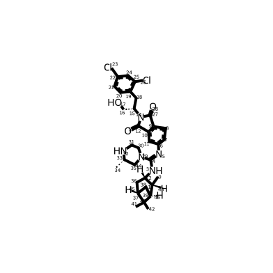 C[C@H]1[C@@H](NC(=Nc2ccc3c(c2)C(=O)N([C@H](CO)Cc2ccc(Cl)cc2Cl)C3=O)N2CCN[C@@H](C)C2)C[C@@H]2C[C@@H]1C2(C)C